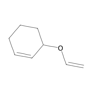 C=COC1C=CCCC1